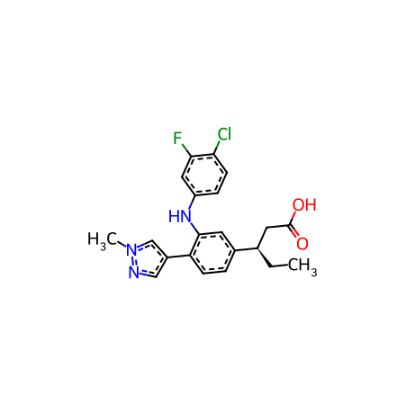 CC[C@H](CC(=O)O)c1ccc(-c2cnn(C)c2)c(Nc2ccc(Cl)c(F)c2)c1